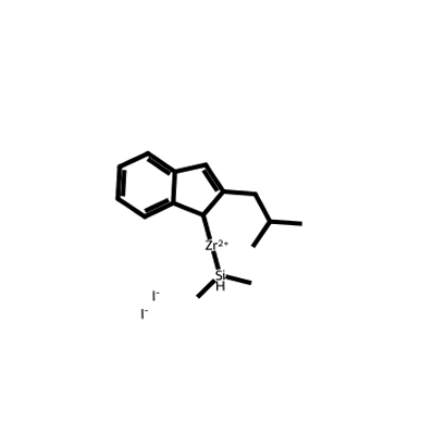 CC(C)CC1=Cc2ccccc2[CH]1[Zr+2][SiH](C)C.[I-].[I-]